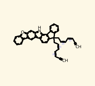 C#C/C=C\C=C/CC1(C/C=C\C=C/C#C)c2ccccc2-c2c1ccc1c2[nH]c2cc3oc4ccccc4c3cc21